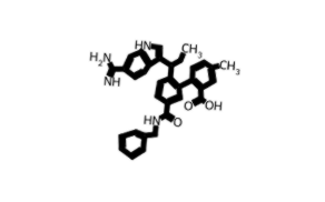 CCC(c1ccc(C(=O)NCc2ccccc2)cc1-c1ccc(C)cc1C(=O)O)c1c[nH]c2cc(C(=N)N)ccc12